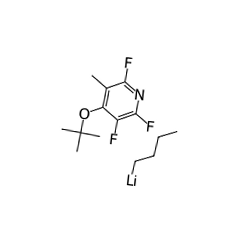 Cc1c(F)nc(F)c(F)c1OC(C)(C)C.[Li][CH2]CCC